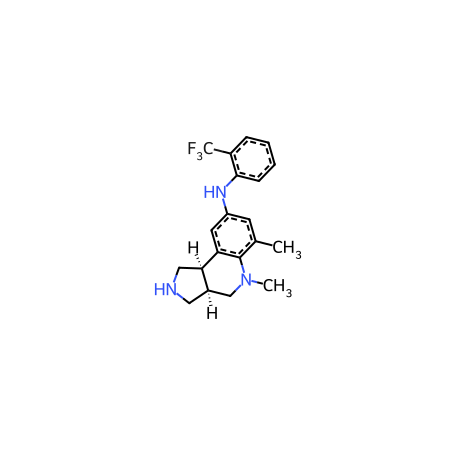 Cc1cc(Nc2ccccc2C(F)(F)F)cc2c1N(C)C[C@H]1CNC[C@@H]21